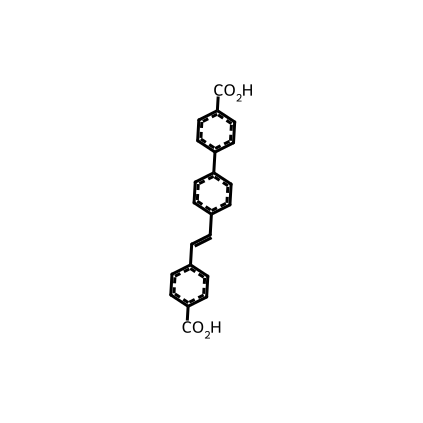 O=C(O)c1ccc(C=Cc2ccc(-c3ccc(C(=O)O)cc3)cc2)cc1